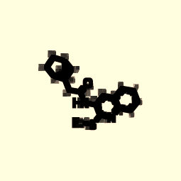 CCSc1nc2ccccc2cc1NC(=O)CC1CC2CCC1C2